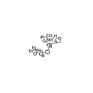 CCC(CC)NC(=O)c1cnc(-c2cccc(-c3cc(C(=O)NC(C(=O)O)C(C)C)n(CCN4CCOCC4)n3)c2)o1